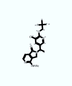 CC(=O)Nc1nccc2c1CN(C(C)c1cnc(OCC(C)(F)F)c(Cl)c1)C2=O